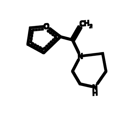 C=C(c1ccco1)N1CCNCC1